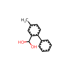 Cc1ccc(-c2ccccc2)c(C(O)O)c1